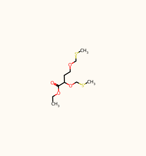 CCOC(=O)C(CCOCSC)OCSC